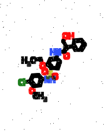 CCOc1cc(NC(=O)[C@@H](CO)c2ccccc2)ccc1S(=O)(=O)Nc1ccc(Cl)c(OC)c1